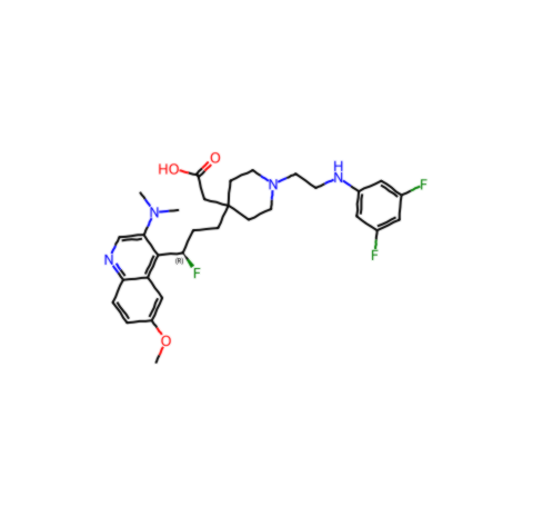 COc1ccc2ncc(N(C)C)c([C@H](F)CCC3(CC(=O)O)CCN(CCNc4cc(F)cc(F)c4)CC3)c2c1